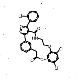 O=C(O)Cc1cccc(-c2noc(-c3ccccc3Cl)c2C(=O)NCCOc2ccc(Cl)cc2Cl)c1